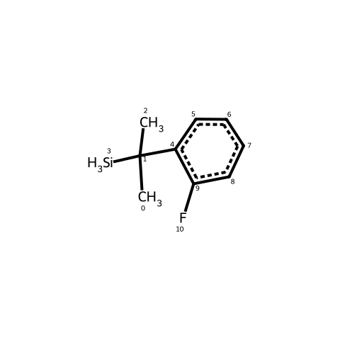 CC(C)([SiH3])c1ccccc1F